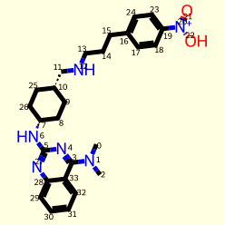 CN(C)c1nc(N[C@H]2CC[C@@H](CNCCCc3ccc([N+](=O)O)cc3)CC2)nc2ccccc12